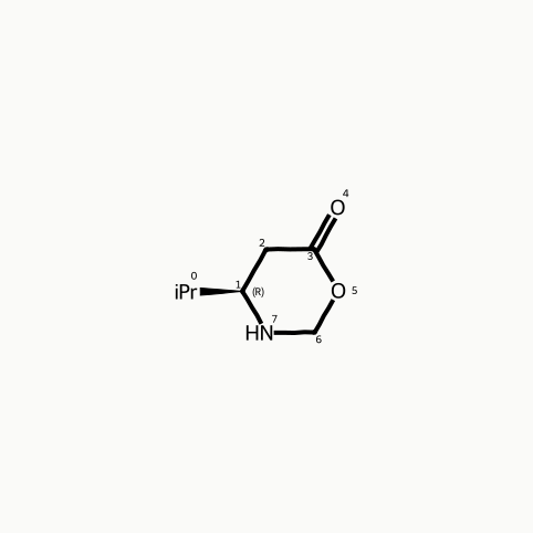 CC(C)[C@H]1CC(=O)OCN1